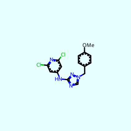 COc1ccc(Cn2cnc(Nc3cc(Cl)nc(Cl)c3)n2)cc1